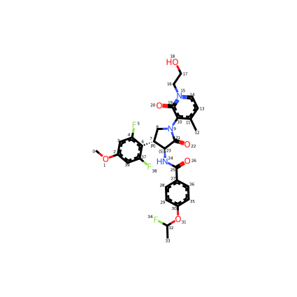 COc1cc(F)c([C@@H]2CN(c3c(C)ccn(CCO)c3=O)C(=O)[C@H]2NC(=O)c2ccc(OC(C)F)cc2)c(F)c1